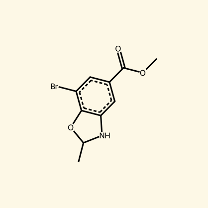 COC(=O)c1cc(Br)c2c(c1)NC(C)O2